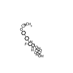 CN1CCC(Oc2ccc(-c3ccc(-c4nc5cc(O[C@@H]6CO[C@H]7[C@@H]6OC[C@H]7O)[nH]c5cc4F)cc3)cc2)C1